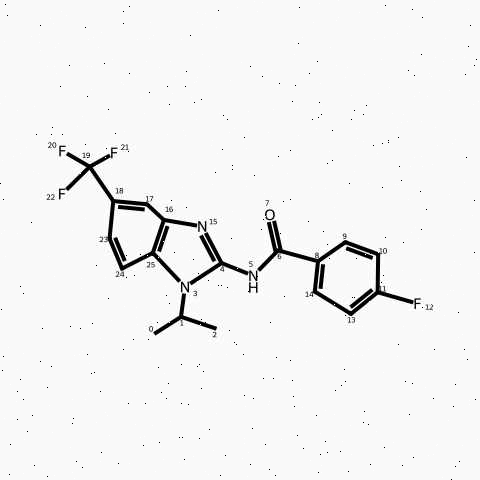 CC(C)n1c(NC(=O)c2ccc(F)cc2)nc2cc(C(F)(F)F)ccc21